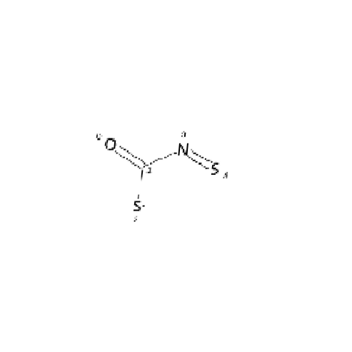 O=C([S])N=S